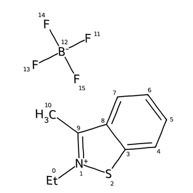 CC[n+]1sc2ccccc2c1C.F[B-](F)(F)F